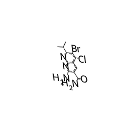 CC(C)c1nc2nc(N)c(C(N)=O)cc2c(Cl)c1Br